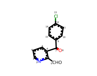 O=Cc1ncccc1C(=O)c1ccc(Cl)cc1